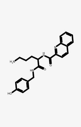 NCCCC(NC(=O)c1ccc2ccccc2n1)C(=O)NCc1ccc(O)cc1